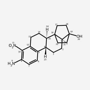 C[C@]12CC[C@@H]3c4ccc(N)c([N+](=O)[O-])c4CC[C@H]3C13CCC2(O)CC3